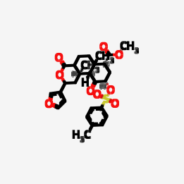 COC(=O)[C@@H]1C[C@H](OS(=O)(=O)c2ccc(C)cc2)C(=O)[C@H]2C1(C)CCC1C(=O)OC(c3ccoc3)C[C@@]12C